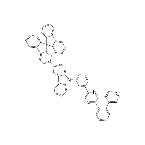 c1cc(-c2cnc3c4ccccc4c4ccccc4c3n2)cc(-n2c3ccccc3c3cc(-c4ccc5c(c4)C4(c6ccccc6-c6ccccc64)c4ccccc4-5)ccc32)c1